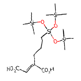 C[Si](C)(C)O[Si](CCC/C(=C\C(=O)O)C(=O)O)(O[Si](C)(C)C)O[Si](C)(C)C